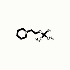 CC(C)C(C)(C)OCCN1CCCCC1